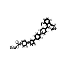 CC(C)(C)OC(=O)N1CCC(n2cc(-c3ccc(N4CCC(C5c6c(F)cccc6-c6cncn65)CC4)cc3)cn2)CC1